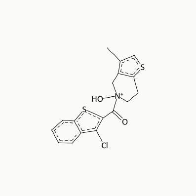 Cc1csc2c1C[N+](O)(C(=O)c1sc3ccccc3c1Cl)CC2